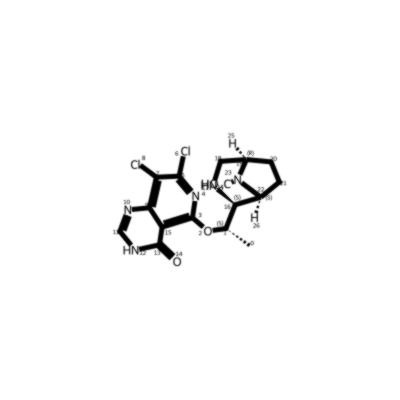 C[C@H](Oc1nc(Cl)c(Cl)c2nc[nH]c(=O)c12)[C@H]1NC[C@H]2CC[C@@H]1N2C(=O)O